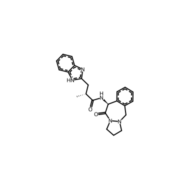 C[C@H](Cc1nc2ccccc2[nH]1)C(=O)N[C@@H]1C(=O)N2CCCN2Cc2ccccc21